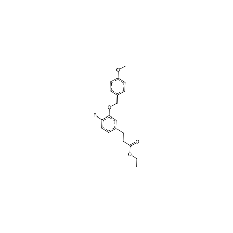 CCOC(=O)CCc1ccc(F)c(OCc2ccc(OC)cc2)c1